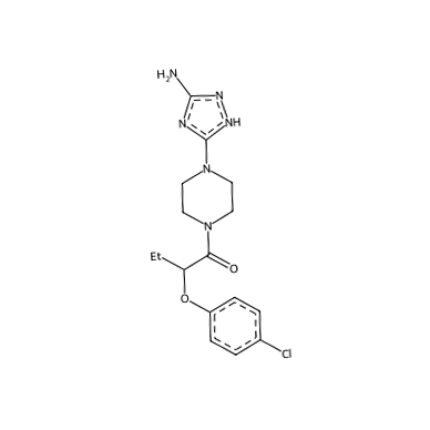 CCC(Oc1ccc(Cl)cc1)C(=O)N1CCN(c2nc(N)n[nH]2)CC1